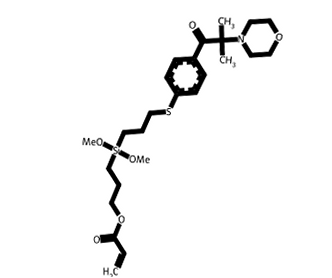 C=CC(=O)OCCC[Si](CCCSc1ccc(C(=O)C(C)(C)N2CCOCC2)cc1)(OC)OC